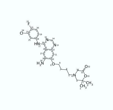 CC1(C)CN(CCCCOc2cc3ncnc(Nc4ccc(F)c(Cl)c4)c3cc2N)CC(=O)O1